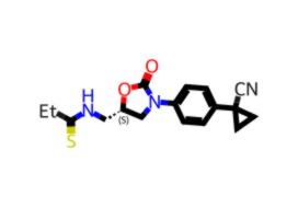 CCC(=S)NC[C@H]1CN(c2ccc(C3(C#N)CC3)cc2)C(=O)O1